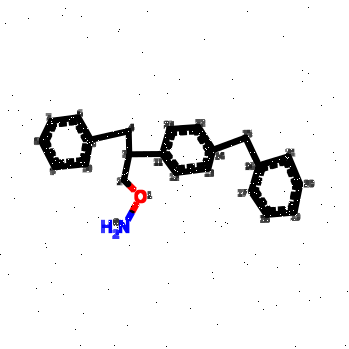 NOCC(Cc1ccccc1)c1ccc(Cc2ccccc2)cc1